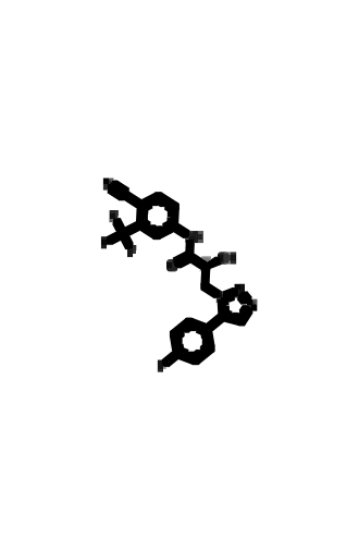 N#Cc1ccc(NC(=O)[C@@H](O)Cn2nncc2-c2ccc(F)cc2)cc1C(F)(F)F